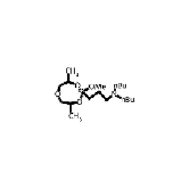 CCCCN(CCCC)CCC[Si]1(OC)OC(C)COCC(C)O1